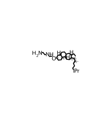 CC(C)CCC[C@@H](C)[C@H]1CC[C@H]2CC3CC[C@H]4C[C@@H](OCCNCCN)CC[C@]4(C)[C@H]3CC[C@@]21C